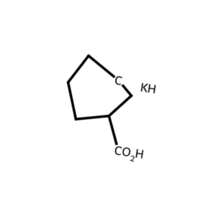 O=C(O)C1CCCCC1.[KH]